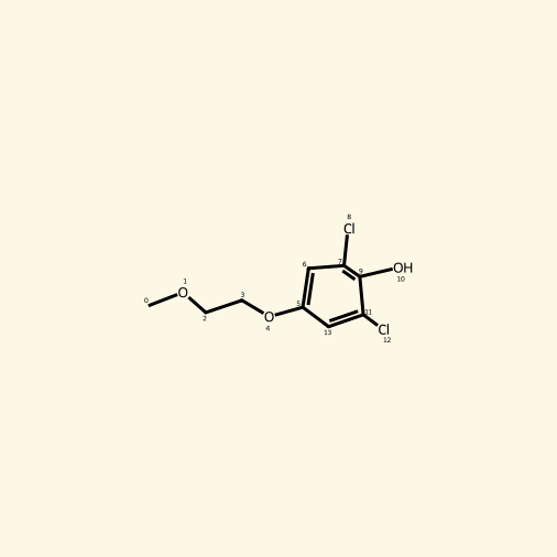 COCCOc1cc(Cl)c(O)c(Cl)c1